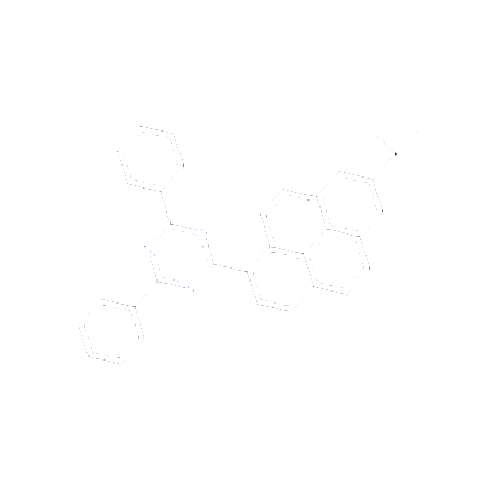 CC(C)(C)c1cc2ccc3ccc(-c4nc(-c5ccccc5)nc(-c5ccccc5)n4)c4ccc(c1)c2c34